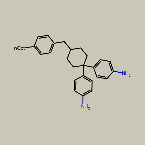 CCCCCCCCc1ccc(CC2CCC(c3ccc(N)cc3)(c3ccc(N)cc3)CC2)cc1